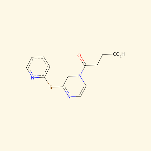 O=C(O)CCC(=O)N1C=CN=C(Sc2ccccn2)C1